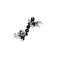 COC(=O)NC(C(=O)N1CC2(CCOCC2)C[C@H]1c1nc(-c2ccc(-c3ccc(-c4cnc([C@@H]5CC6(CCOCC6)C(C(=O)[C@@H](NC(=O)OC)C(C)C)N5)[nH]4)cc3)cc2)c[nH]1)C(C)C